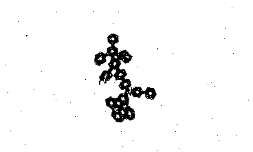 c1ccc(-c2ccc(N(c3ccc(-c4ccc(-c5cc6c(cc5-c5ccncc5)-c5c(-c7ccccc7)cc(-c7ccccc7)cc5C65C6CC7CC(C6)CC5C7)cc4)cc3)c3ccc4c(c3)-c3ccccc3C43c4ccccc4-c4ccccc43)cc2)cc1